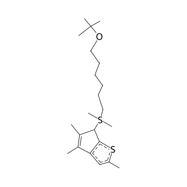 CC1=C(C)C(S(C)(C)CCCCCCOC(C)(C)C)c2sc(C)cc21